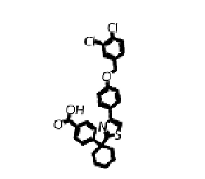 O=C(O)c1ccc(C2(c3nc(-c4ccc(OCc5ccc(Cl)c(Cl)c5)cc4)cs3)CCCCC2)cc1